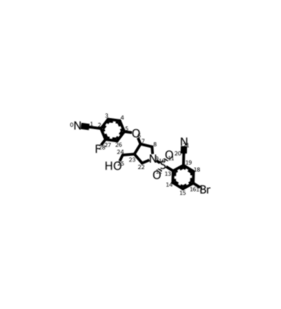 N#Cc1ccc(OC2CN(S(=O)(=O)c3ccc(Br)cc3C#N)CC2CO)cc1F